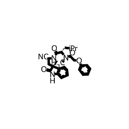 CC(C)C[C@@H](C(=O)N1C[C@]2(C[C@H]1C#N)C(=O)Nc1ccccc12)N(C)C(=O)COc1ccccc1